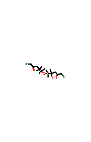 CC(C)(CC(O)CBr)[Si](C)(C)O[Si](C)(C)C(C)(C)CC(O)CBr